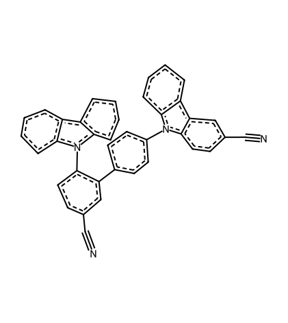 N#Cc1ccc(-n2c3ccccc3c3ccccc32)c(-c2ccc(-n3c4ccccc4c4cc(C#N)ccc43)cc2)c1